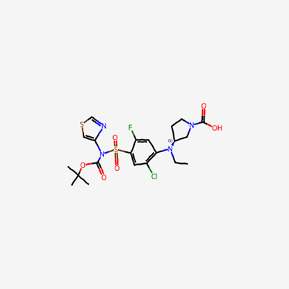 CCN(c1cc(F)c(S(=O)(=O)N(C(=O)OC(C)(C)C)c2cscn2)cc1Cl)[C@H]1CCN(C(=O)O)C1